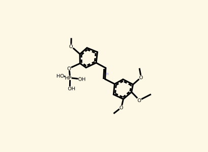 COc1ccc(/C=C/c2cc(OC)c(OC)c(OC)c2)cc1O[PH](O)(O)O